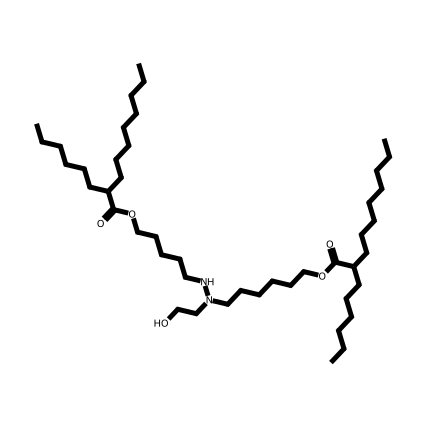 CCCCCCCCC(CCCCCC)C(=O)OCCCCCCN(CCO)NCCCCCOC(=O)C(CCCCCC)CCCCCCCC